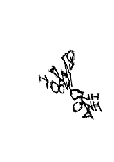 O=C(Nc1ccc(-c2nc(N3CCOCC3)cc(C3(C(=O)O)CC3)n2)cc1)NC1CC1